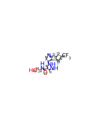 CC(=N)/C(=C\Nc1ccnc(Cc2cc(F)cc(C(F)(F)F)c2)c1)C(=O)NCCO